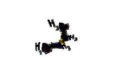 CN(CCSSCCN(C)C1CCC(CCC2CC=[N+](C)C3CCCCC23)CC1)C1CCC(CCC2CC=[N+](C)C3CCCCC23)CC1